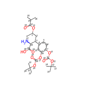 CC(CC(c1ccc(OC(=O)OC(C)(C)C)c(OC(=O)OC(C)(C)C)c1)[C@H](N)C(=O)O)OC(=O)C(C)C